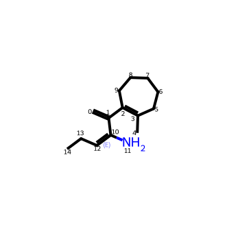 C=C(C1=C(C)CCCCC1)/C(N)=C\CC